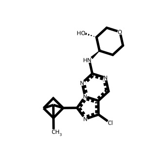 CC1C2CC1(c1nc(Cl)c3cnc(N[C@@H]4CCOC[C@H]4O)nn13)C2